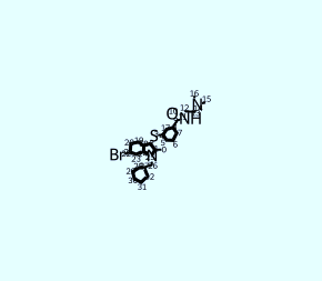 Cc1c(Sc2cccc(C(=O)NCCN(C)C)c2)c2ccc(Br)cc2n1Cc1ccccc1